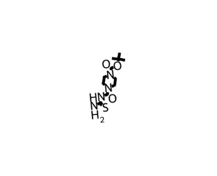 CC(C)(C)OC(=O)N1CCN(C(=O)NC(N)=S)CC1